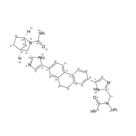 CCCC(=O)N(CCC)Cc1ncc(-c2ccc3c(c2)CCc2cc(-c4cnc([C@@H]5[C@H]6CC[C@H](C6)N5C(=O)CCC)[nH]4)ccc2-3)[nH]1